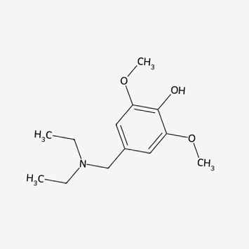 CCN(CC)Cc1cc(OC)c(O)c(OC)c1